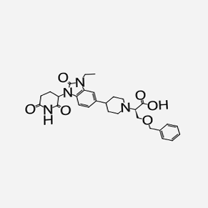 CCn1c(=O)n(C2CCC(=O)NC2=O)c2ccc(C3CCN([C@H](COCc4ccccc4)C(=O)O)CC3)cc21